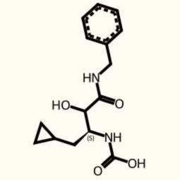 O=C(O)N[C@@H](CC1CC1)C(O)C(=O)NCc1ccccc1